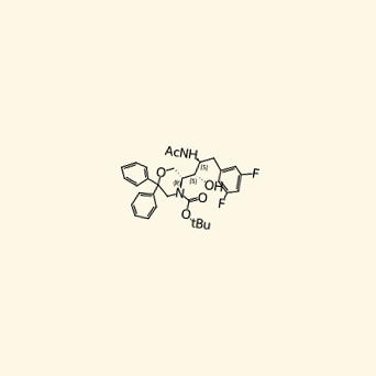 CC(=O)N[C@@H](Cc1cc(F)cc(F)c1)[C@H](O)[C@H]1COC(c2ccccc2)(c2ccccc2)CN1C(=O)OC(C)(C)C